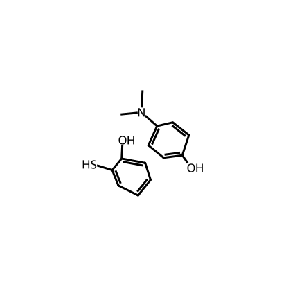 CN(C)c1ccc(O)cc1.Oc1ccccc1S